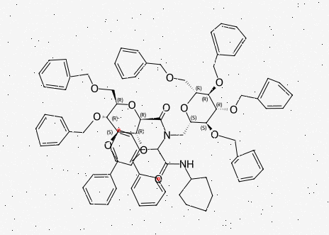 O=C(NC1CCCCC1)C(c1ccccc1)N(C[C@@H]1O[C@H](COCc2ccccc2)[C@@H](OCc2ccccc2)[C@H](OCc2ccccc2)[C@H]1OCc1ccccc1)C(=O)[C@@H]1O[C@H](COCc2ccccc2)[C@@H](OCc2ccccc2)[C@H](OCc2ccccc2)[C@H]1OCc1ccccc1